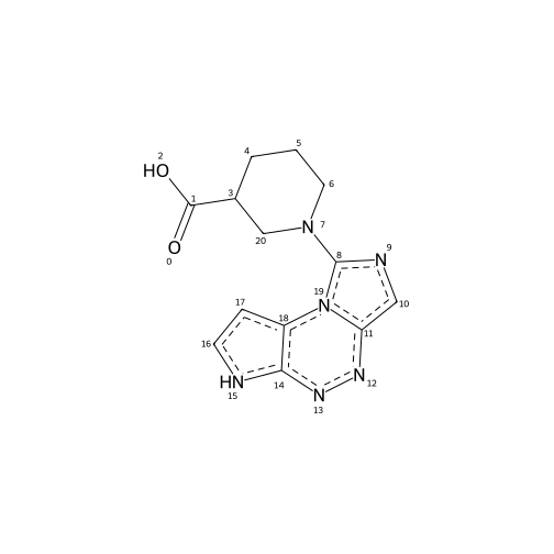 O=C(O)C1CCCN(c2ncc3nnc4[nH]ccc4n23)C1